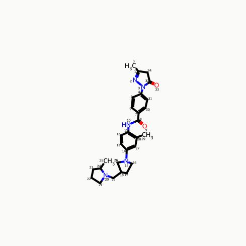 CC1=NN(c2ccc(C(=O)Nc3ccc(N4CCC(CN5CCCC5C)C4)cc3C)cc2)C(=O)C1